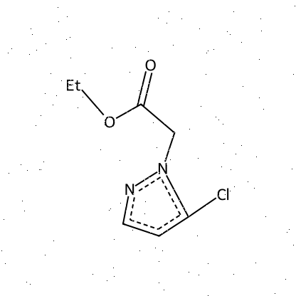 CCOC(=O)Cn1nccc1Cl